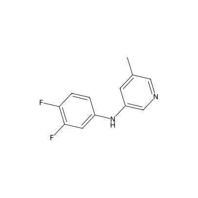 Cc1cncc(Nc2ccc(F)c(F)c2)c1